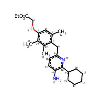 CCOC(=O)COc1cc(C)c(Cc2ccc(N)c(C3CCCCC3)n2)c(C)c1C